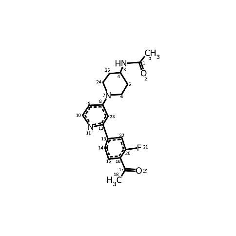 CC(=O)NC1CCN(c2ccnc(-c3ccc(C(C)=O)c(F)c3)c2)CC1